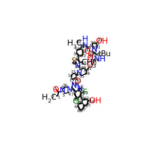 C=CC(=O)N1CCN(c2nc(O[C@H]3CCC[C@@H]3N3CCC(COCC(=O)N[C@H](C(=O)N4C[C@H](O)C[C@H]4C(=O)N[C@@H](C)c4ccc(-c5scnc5C)cc4)C(C)(C)C)CC3)nc3c(F)c(-c4cc(O)cc5ccccc45)c(Cl)cc23)CC1